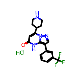 Cl.O=c1cc(C2CCNCC2)n2ncc(-c3cccc(C(F)(F)F)c3)c2[nH]1